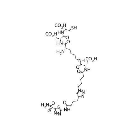 N[C@@H](CCCCNC(=O)[C@H](CC(=O)O)NC(=O)CCCCn1cc(CCCC(=O)Nc2nnc(S(N)(=O)=O)s2)nn1)C(=O)N[C@@H](CC(=O)O)C(=O)N[C@@H](CS)C(=O)O